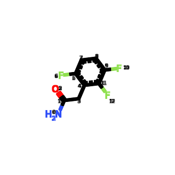 NC(=O)Cc1c(F)ccc(F)c1F